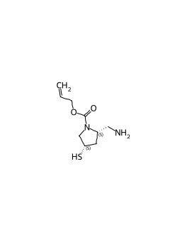 C=CCOC(=O)N1C[C@@H](S)C[C@H]1CN